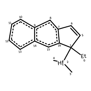 CC[C]1([Hf]([CH3])[CH3])C=Cc2cc3ccccc3cc21